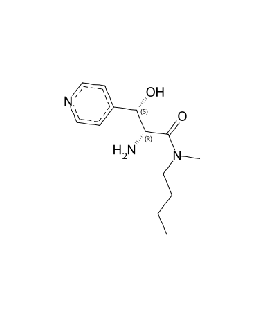 CCCCN(C)C(=O)[C@H](N)[C@@H](O)c1ccncc1